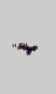 CC1(C)c2ccccc2-c2cc3c(cc21)Oc1ccc(-c2nc(-c4ccccc4)nc(-c4ccc5c(ccc6ccccc65)c4)n2)cc1O3